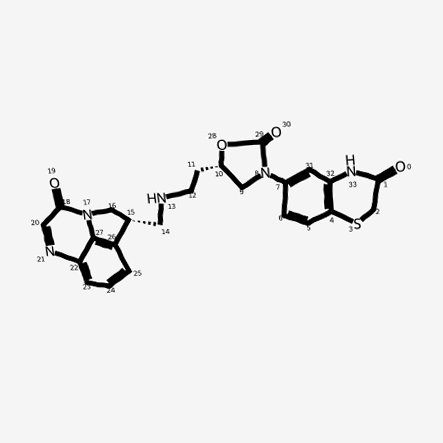 O=C1CSc2ccc(N3C[C@H](CCNC[C@H]4Cn5c(=O)cnc6cccc4c65)OC3=O)cc2N1